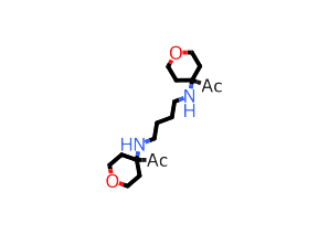 CC(=O)C1(NCCCCNC2(C(C)=O)CCOCC2)CCOCC1